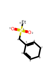 CCS(=O)(=O)CC1=CCCC=C1